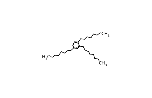 CCCCCCCCc1ccc(CCCCCCCC)c(CCCCCCCC)c1